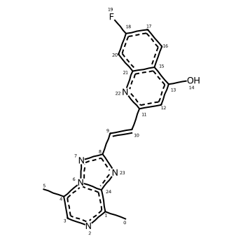 Cc1ncc(C)n2nc(C=Cc3cc(O)c4ccc(F)cc4n3)nc12